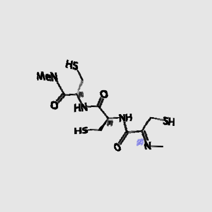 C/N=C(\CS)C(=O)N[C@@H](CS)C(=O)N[C@@H](CS)C(=O)NC